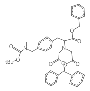 CC(C)(C)OC(=O)NCc1ccc(CC(C(=O)OCc2ccccc2)N(CC(=O)OCc2ccccc2)CC(=O)OCc2ccccc2)cc1